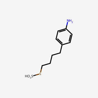 Nc1ccc(CCCCSS(=O)(=O)O)cc1